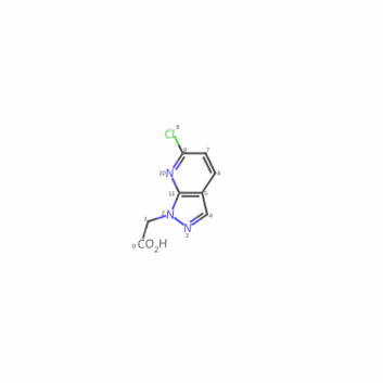 O=C(O)Cn1ncc2ccc(Cl)nc21